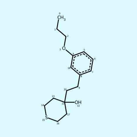 CCCOc1cccc(CCC2(O)CCSCC2)c1